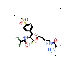 C[C@H](N)C(=O)NCCCC(=O)O[C@H](c1ccc(S(C)(=O)=O)cc1)[C@@H](CF)NC(=O)C(Cl)Cl